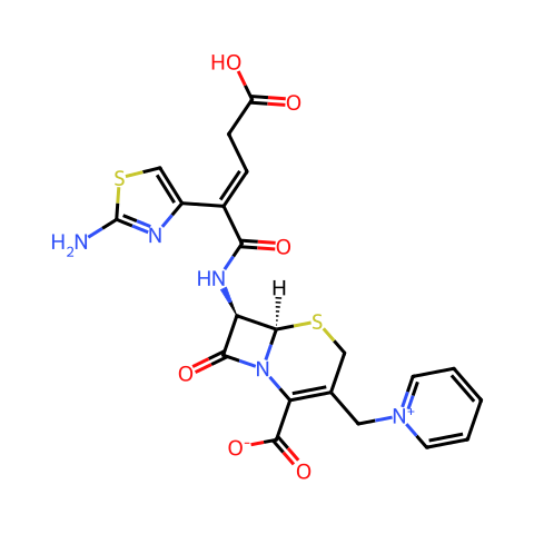 Nc1nc(/C(=C\CC(=O)O)C(=O)N[C@@H]2C(=O)N3C(C(=O)[O-])=C(C[n+]4ccccc4)CS[C@H]23)cs1